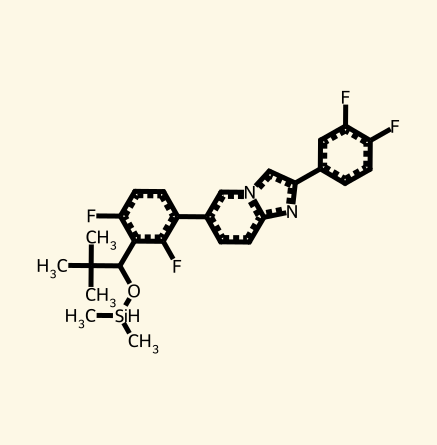 C[SiH](C)OC(c1c(F)ccc(-c2ccc3nc(-c4ccc(F)c(F)c4)cn3c2)c1F)C(C)(C)C